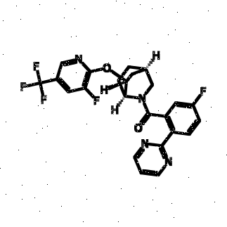 O=C(c1cc(F)ccc1-c1ncccn1)N1C[C@@H]2CC[C@H]1[C@H](Oc1ncc(C(F)(F)F)cc1F)C2